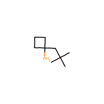 CC(C)(C)CC1(P)CCC1